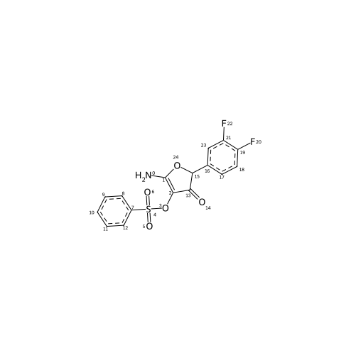 NC1=C(OS(=O)(=O)c2ccccc2)C(=O)C(c2ccc(F)c(F)c2)O1